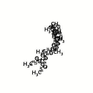 CCCC(=O)OCC(COC(=O)CCC)OC(=O)CC(C)CC(=O)OC(C)OC(=O)O[C@@H]1CC[C@@]2(C)[C@@H](CC[C@@H]3[C@@H]2CC[C@]2(C)[C@@H](C(C)=O)CC[C@@H]32)C1